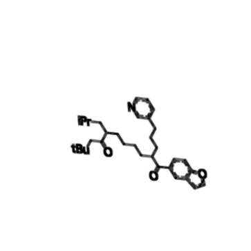 CC(C)CC(CCCCC(CCCc1cccnc1)C(=O)c1ccc2occc2c1)C(=O)CC(C)(C)C